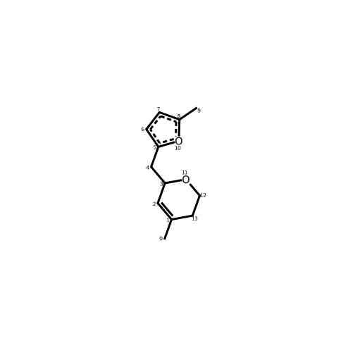 CC1=CC(Cc2ccc(C)o2)OCC1